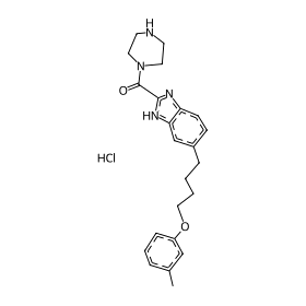 Cc1cccc(OCCCCc2ccc3nc(C(=O)N4CCNCC4)[nH]c3c2)c1.Cl